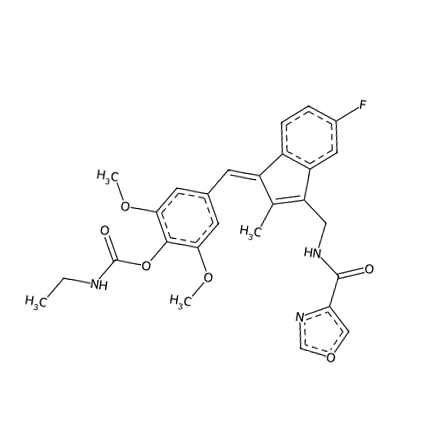 CCNC(=O)Oc1c(OC)cc(C=C2C(C)=C(CNC(=O)c3cocn3)c3cc(F)ccc32)cc1OC